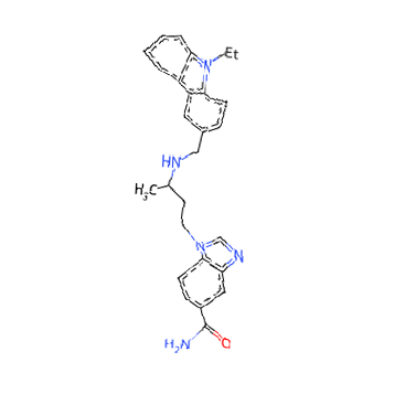 CCn1c2ccccc2c2cc(CNC(C)CCn3cnc4cc(C(N)=O)ccc43)ccc21